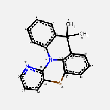 CC1(C)c2ccccc2N2c3ncccc3Sc3cccc1c32